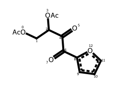 CC(=O)OCC(OC(C)=O)C(=O)C(=O)c1ccco1